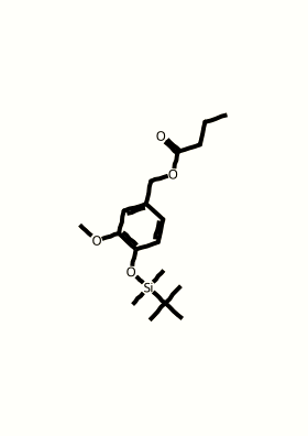 CCCC(=O)OCc1ccc(O[Si](C)(C)C(C)(C)C)c(OC)c1